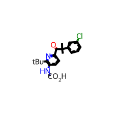 CC(C)(C)c1nc(C(=O)C(C)(C)c2cccc(Cl)c2)ccc1NC(=O)O